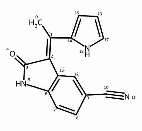 CC(=C1C(=O)Nc2ccc(C#N)cc21)c1ccc[nH]1